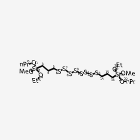 CCCO[Si](CCCSSSSSSSSCCC[Si](OC)(OCC)OCCC)(OC)OCC